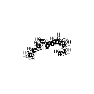 CC1OC(OC2C(O)COC(OC3C(C)OC(OC4C(OC(=O)C56CCC(C)(C)CC5C5=CCC7C8(C)CC(O)C(OC9OC(COC%10OC(CO)C(O)C(O)C%10O)C(O)C(O)C9O)C(C)(CO)C8C(O)CC7(C)C5(C)CC6)OCC(O)C4O)C(O)C3O)C2O)C(O)C(O)C1O